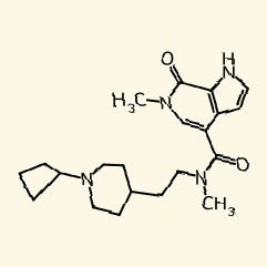 CN(CCC1CCN(C2CCC2)CC1)C(=O)c1cn(C)c(=O)c2[nH]ccc12